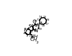 CNc1ccnc2sc3c(=O)n(N4CCCCCC4)cnc3c12